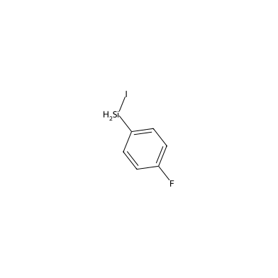 Fc1ccc([SiH2]I)cc1